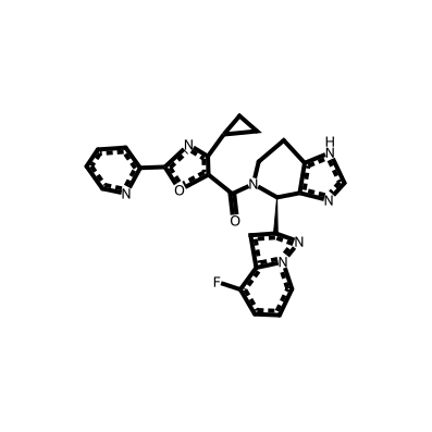 O=C(c1oc(-c2ccccn2)nc1C1CC1)N1CCc2[nH]cnc2[C@H]1c1cc2c(F)cccn2n1